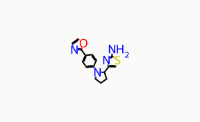 Nc1nc(C2CCCN2c2ccc(-c3ncco3)cc2)cs1